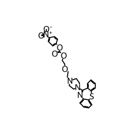 O=C(OCCOCCN1CCN(C2=Nc3ccccc3Sc3ccccc32)CC1)Oc1ccc([N+](=O)[O-])cc1